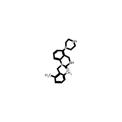 Cc1cccc(C)c1CN1C(=O)NCc2c(N3CCNCC3)cccc21